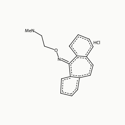 CNCCON=c1c2ccccc2ccc2ccccc12.Cl